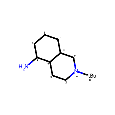 CC(C)(C)N1CCC2C(N)CCCC2C1